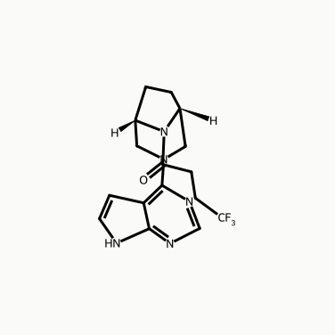 O=C(CCC(F)(F)F)N1[C@@H]2CC[C@H]1CN(c1ncnc3[nH]ccc13)C2